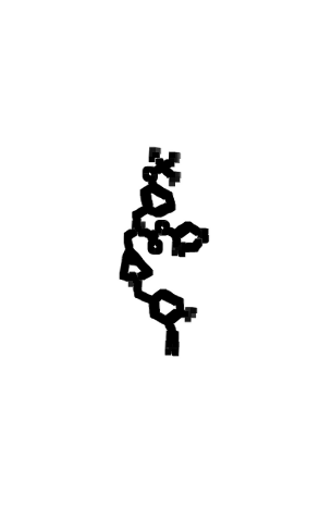 N#Cc1cc(CN2CC3C(C2)C3CN(Cc2cccc(OC(F)(F)F)c2)C(=O)Oc2cscn2)ccc1F